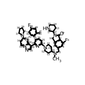 CN(Cc1cc(F)c2c(c1)CN(C1CCCNC1)C2=O)C1CCN(c2cccc(-c3cnn4ccc(N5CCC[C@@H]5c5ccc(F)cc5F)nc34)n2)CC1